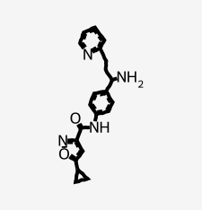 NC(CCc1ccccn1)c1ccc(NC(=O)c2cc(C3CC3)on2)cc1